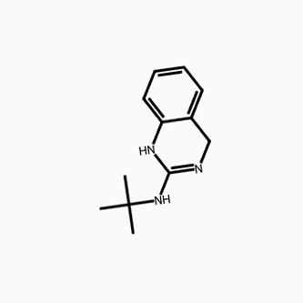 CC(C)(C)NC1=NCc2ccccc2N1